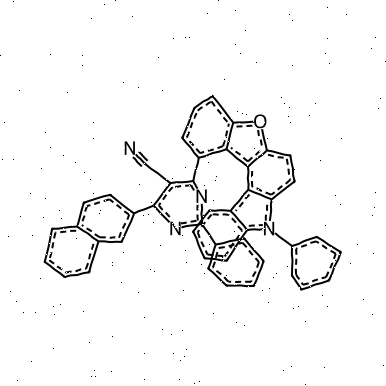 N#Cc1c(-c2ccc3ccccc3c2)nc(-c2ccccc2)nc1-c1cccc2oc3ccc4c(c5ccccc5n4-c4ccccc4)c3c12